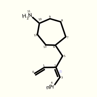 C=C/C(=C\CCC)CC1CCCC(N)CC1